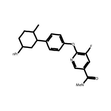 CCCC1CCC(C)C(c2ccc(Oc3ncc(C(=O)NC)cc3F)cc2)C1